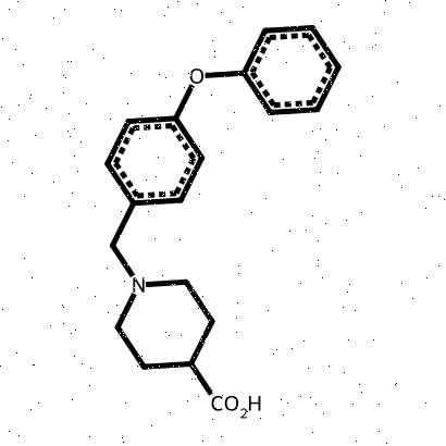 O=C(O)C1CCN(Cc2ccc(Oc3ccccc3)cc2)CC1